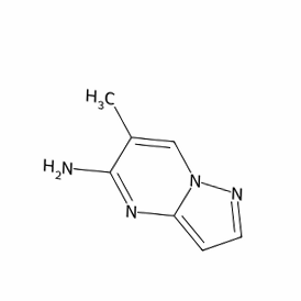 Cc1cn2nccc2nc1N